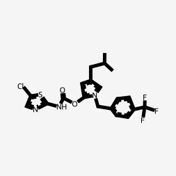 CC(C)Cc1cc(OC(=O)Nc2ncc(Cl)s2)n(Cc2ccc(C(F)(F)F)cc2)c1